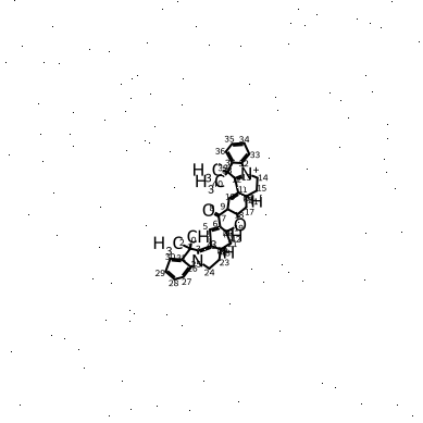 CC1(C)C2=C3C=C4C(=O)C5C=C6C7=[N+](CC[C@H]6CC5O[C@H]4C[C@H]3CCN2c2ccccc21)c1ccccc1C7(C)C